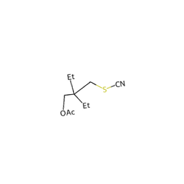 CCC(CC)(COC(C)=O)CSC#N